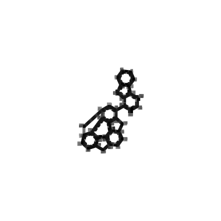 c1ccc2c(c1)sc1c(-c3cc4c5c6c(ccc7c6c6c(ccc8c6c5c3C8)C7)C4)ncnc12